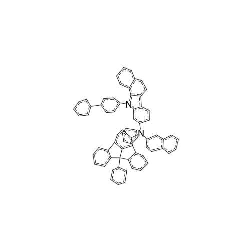 c1ccc(-c2ccc(-n3c4cc(N(c5ccc6c(c5)C(c5ccccc5)(c5ccccc5-c5ccccc5)c5ccccc5-6)c5ccc6ccccc6c5)ccc4c4ccc5ccccc5c43)cc2)cc1